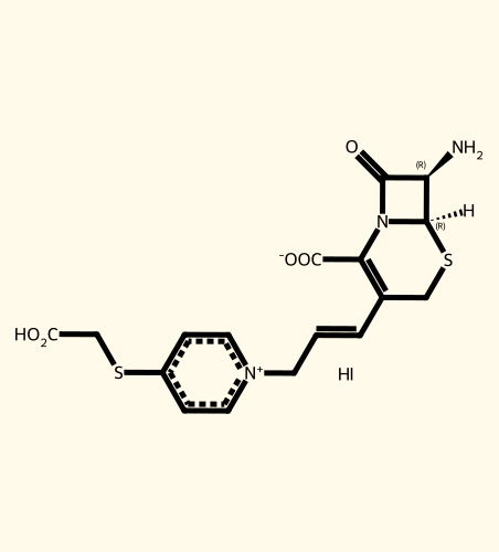 I.N[C@@H]1C(=O)N2C(C(=O)[O-])=C(C=CC[n+]3ccc(SCC(=O)O)cc3)CS[C@H]12